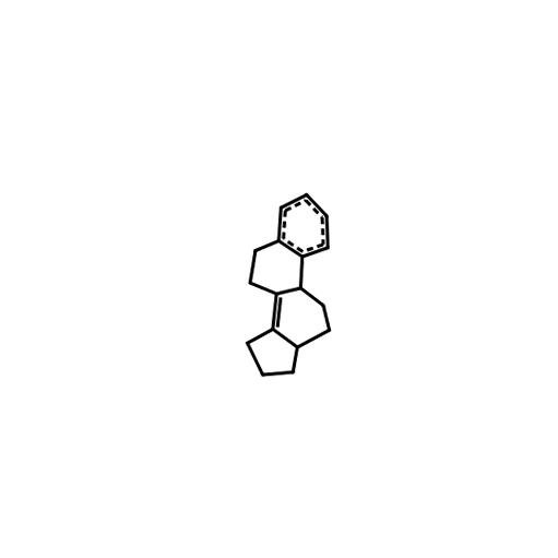 c1ccc2c(c1)CCC1=C3CCCC3CCC12